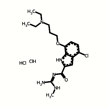 CCN(CC)CCCOc1ccc(Cl)c2cc(C(=O)N=C(N)NC)[nH]c12.Cl.Cl